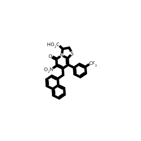 O=C(O)C1CSc2c(-c3cccc(C(F)(F)F)c3)c(Cc3cccc4ccccc34)c([N+](=O)[O-])c(=O)n21